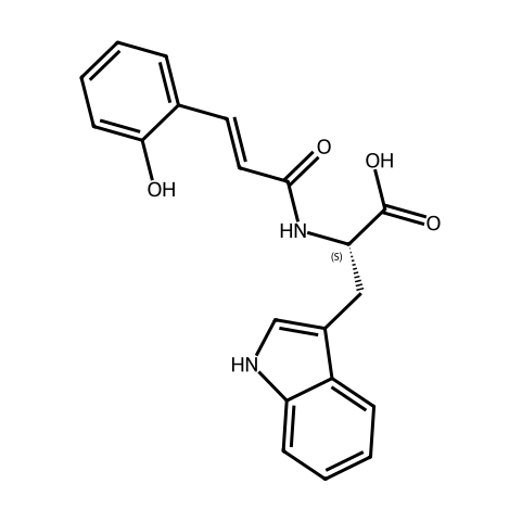 O=C(C=Cc1ccccc1O)N[C@@H](Cc1c[nH]c2ccccc12)C(=O)O